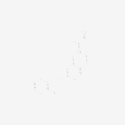 C=CC(=O)N1CCc2ccc(OCc3ccccc3F)cc2C1